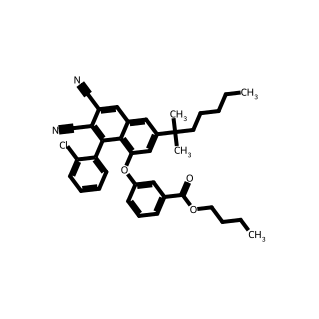 CCCCCC(C)(C)c1cc(Oc2cccc(C(=O)OCCCC)c2)c2c(-c3ccccc3Cl)c(C#N)c(C#N)cc2c1